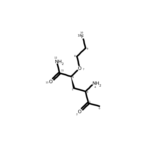 CC(=O)C(N)C[C@H](OCC[18F])C(N)=O